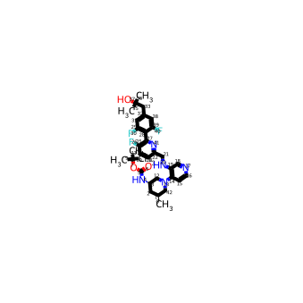 C[C@@H]1C[C@H](NC(=O)OC(C)(C)C)CN(c2ccncc2NCc2ccc(F)c(-c3c(F)cc(CC(C)(C)O)cc3F)n2)C1